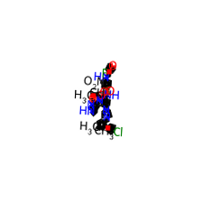 CC1(C)CCC(CN2CCN(c3ccc(C(=O)NS(=O)(=O)c4ccc(NCC5(F)CCOCC5)c([N+](=O)[O-])c4)c(N4CCC(C)(C)Oc5nc6[nH]ccc6cc54)c3)CC2)=C(c2ccc(Cl)cc2)C1